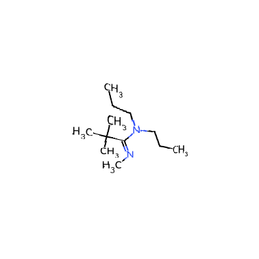 CCCN(CCC)C(=NC)C(C)(C)C